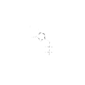 [2H]C([2H])([2H])C([2H])([2H])Cc1cc(C(=O)O)n(C)n1